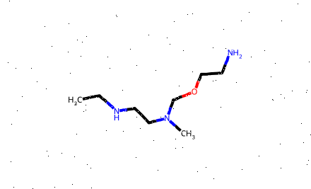 CCNCCN(C)COCCN